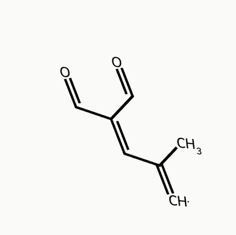 [CH]=C(C)C=C(C=O)C=O